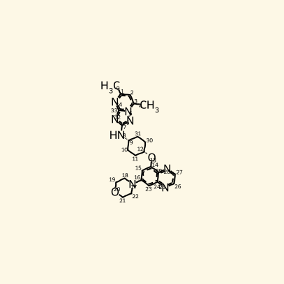 Cc1cc(C)n2nc(N[C@H]3CC[C@@H](Oc4cc(N5CCOCC5)cc5nccnc45)CC3)nc2n1